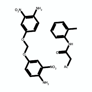 CC(=O)CC(=O)Nc1ccccc1C.Nc1ccc(OCOc2ccc(N)c([N+](=O)[O-])c2)cc1[N+](=O)[O-]